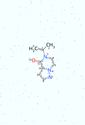 C=C(C)n1ccn2nccc2c1=O